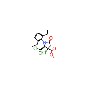 CCc1cccc(CC)c1N1C(=O)CC(Cl)(C(=O)OC)C1=C(Cl)Cl